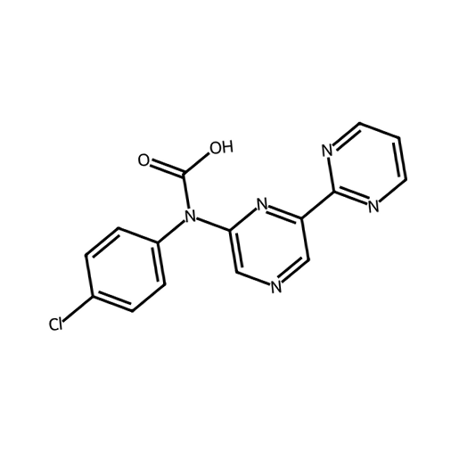 O=C(O)N(c1ccc(Cl)cc1)c1cncc(-c2ncccn2)n1